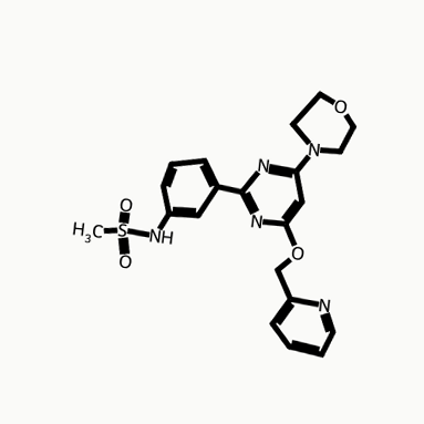 CS(=O)(=O)Nc1cccc(-c2nc(OCc3ccccn3)cc(N3CCOCC3)n2)c1